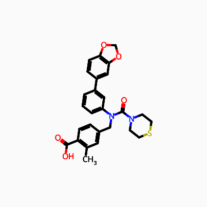 Cc1cc(CN(C(=O)N2CCSCC2)c2cccc(-c3ccc4c(c3)OCO4)c2)ccc1C(=O)O